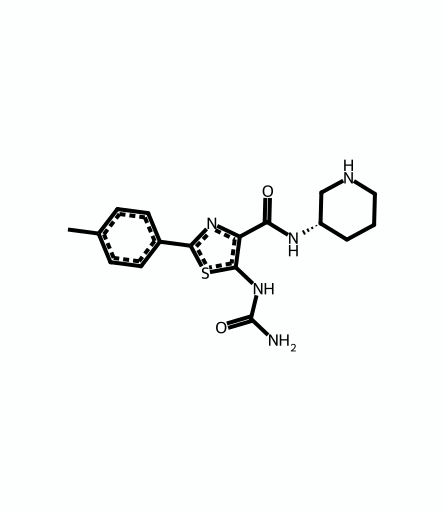 Cc1ccc(-c2nc(C(=O)N[C@H]3CCCNC3)c(NC(N)=O)s2)cc1